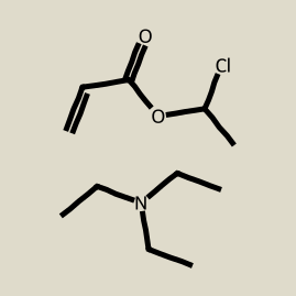 C=CC(=O)OC(C)Cl.CCN(CC)CC